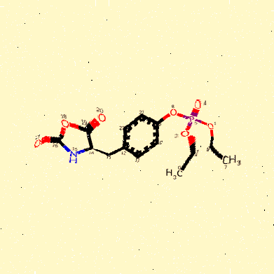 CCOP(=O)(OCC)Oc1ccc(C[C@H]2NC(=O)OC2=O)cc1